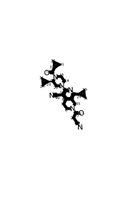 N#CCC(=O)N1CCc2c(C#N)c(N3CCN(C(=O)C4CC4)[C@H](C4CC4)C3)nc(C3CC3)c2C1